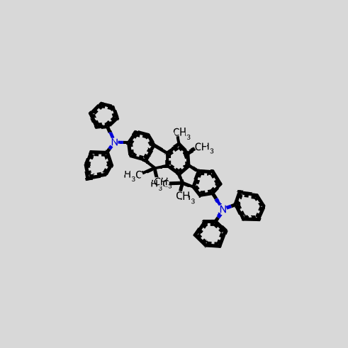 Cc1c(C)c2c(c3c1-c1ccc(N(c4ccccc4)c4ccccc4)cc1C3(C)C)C(C)(C)c1cc(N(c3ccccc3)c3ccccc3)ccc1-2